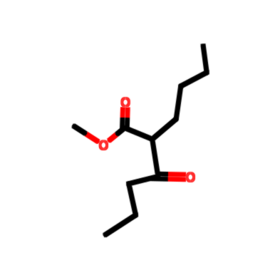 CCCCC(C(=O)CCC)C(=O)OC